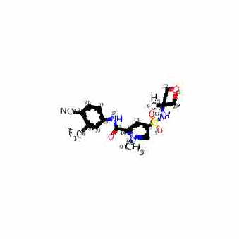 Cn1cc(S(=O)(=O)NC2(C)COC2)cc1C(=O)Nc1ccc(C#N)c(C(F)(F)F)c1